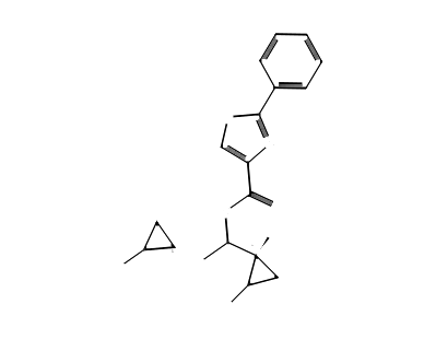 CC1C[C@@H]1CC(NC(=O)c1csc(-c2ccccc2)n1)[C@]1(C)CC1C